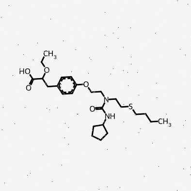 CCCCSCCN(CCOc1ccc(CC(OCC)C(=O)O)cc1)C(=O)NC1CCCC1